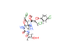 CC(Oc1ccc(Cl)cc1Cl)C(=O)NC1(CCCl)CN([C@H]2C[C@H](O)[C@@H](C)O2)C(=O)NC1=O